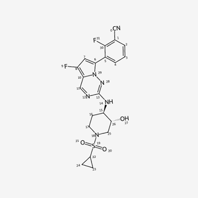 N#Cc1cccc(-c2cc(F)c3cnc(N[C@@H]4CCN(S(=O)(=O)C5CC5)C[C@H]4O)nn23)c1F